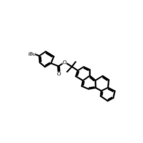 CCC(C)c1ccc(C(=O)OC(C)(C)c2ccc3c(ccc4c5ccccc5ccc34)c2)cc1